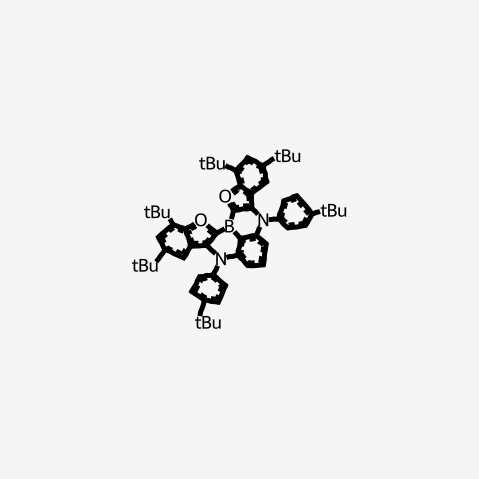 CC(C)(C)c1ccc(N2c3cccc4c3B(c3oc5c(C(C)(C)C)cc(C(C)(C)C)cc5c32)c2oc3c(C(C)(C)C)cc(C(C)(C)C)cc3c2N4c2ccc(C(C)(C)C)cc2)cc1